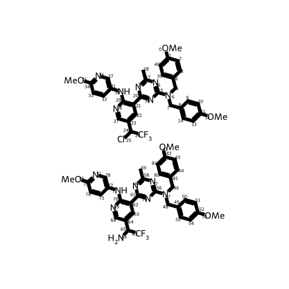 COc1ccc(CN(Cc2ccc(OC)cc2)c2nc(C)nc(-c3cc(C(Cl)C(F)(F)F)cnc3Nc3ccc(OC)nc3)n2)cc1.COc1ccc(CN(Cc2ccc(OC)cc2)c2nc(C)nc(-c3cc(C(N)C(F)(F)F)cnc3Nc3ccc(OC)nc3)n2)cc1